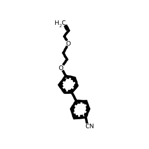 C=CCOCCOc1ccc(-c2ccc(C#N)cc2)cc1